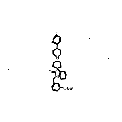 COc1cccc(CNC(=O)[C@]2(c3ccccc3)CC[C@@H](N3CCC(c4ccc(F)cc4)CC3)CC2)c1